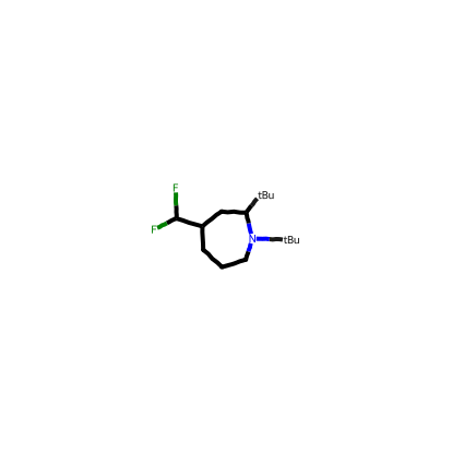 CC(C)(C)C1CC(C(F)F)CCCN1C(C)(C)C